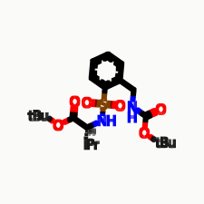 CC(C)[C@@H](NS(=O)(=O)c1ccccc1CNC(=O)OC(C)(C)C)C(=O)OC(C)(C)C